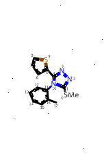 CSc1nnc(-c2cccs2)n1-c1ccccc1C